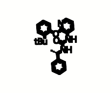 C[C@H](NC(=O)Nc1cccnc1Oc1ccccc1C(C)(C)C)c1ccccc1